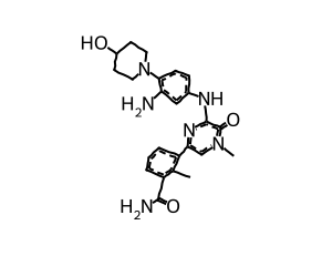 Cc1c(C(N)=O)cccc1-c1cn(C)c(=O)c(Nc2ccc(N3CCC(O)CC3)c(N)c2)n1